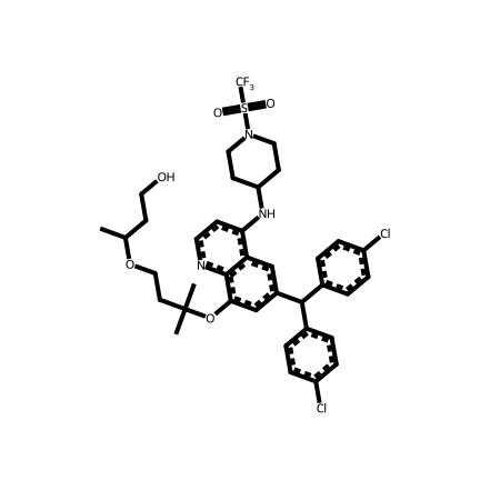 CC(CCO)OCCC(C)(C)Oc1cc(C(c2ccc(Cl)cc2)c2ccc(Cl)cc2)cc2c(NC3CCN(S(=O)(=O)C(F)(F)F)CC3)ccnc12